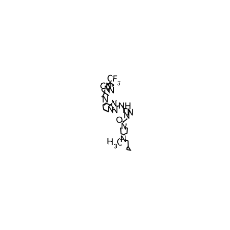 CN(CC1CC1)C1CCN(C(=O)Cn2cc(Nc3nc4c(N5CC(CC#N)(n6cc(C(F)(F)F)cn6)C5)cccn4n3)cn2)CC1